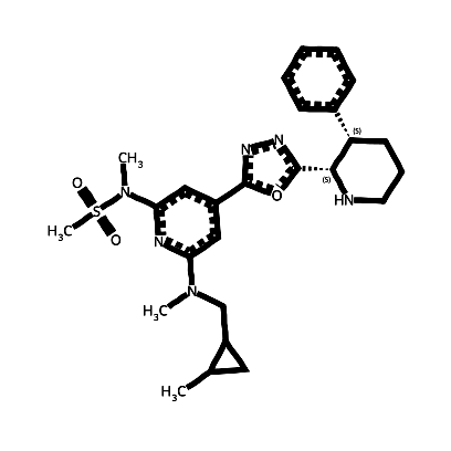 CC1CC1CN(C)c1cc(-c2nnc([C@H]3NCCC[C@H]3c3ccccc3)o2)cc(N(C)S(C)(=O)=O)n1